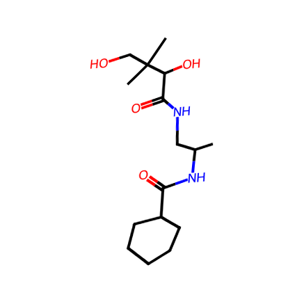 CC(CNC(=O)C(O)C(C)(C)CO)NC(=O)C1CCCCC1